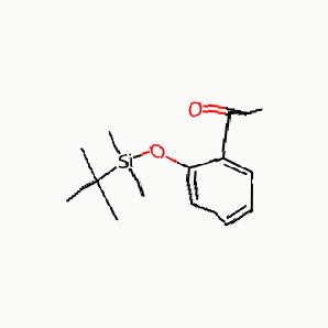 CC(=O)c1ccccc1O[Si](C)(C)C(C)(C)C